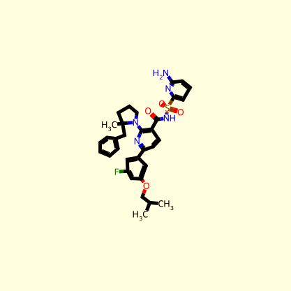 CC(C)COc1cc(F)cc(-c2ccc(C(=O)NS(=O)(=O)c3cccc(N)n3)c(N3CCCC3(C)Cc3ccccc3)n2)c1